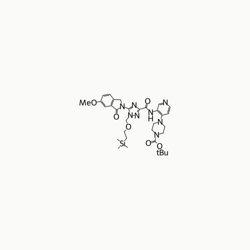 COc1ccc2c(c1)C(=O)N(c1nc(C(=O)Nc3cnccc3N3CCN(C(=O)OC(C)(C)C)CC3)nn1COCC[Si](C)(C)C)C2